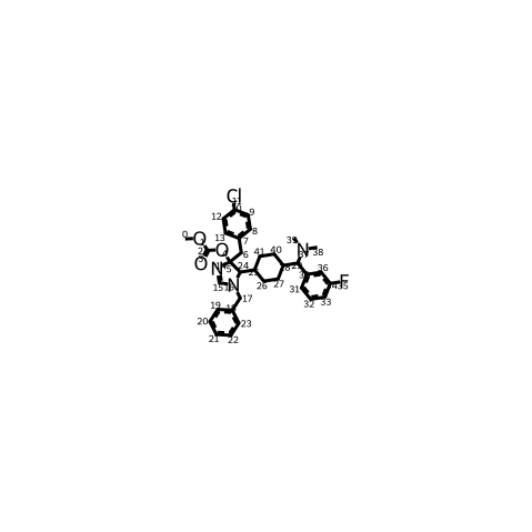 COC(=O)OC1(Cc2ccc(Cl)cc2)N=CN(Cc2ccccc2)C1C1CCC(C(c2cccc(F)c2)N(C)C)CC1